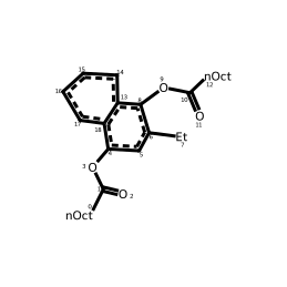 CCCCCCCCC(=O)Oc1cc(CC)c(OC(=O)CCCCCCCC)c2ccccc12